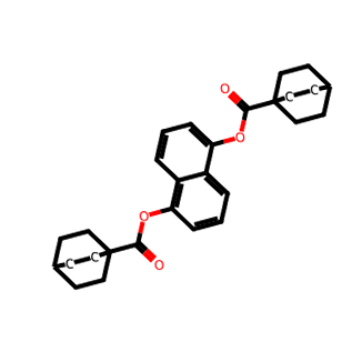 O=C(Oc1cccc2c(OC(=O)C34CCC(CC3)CC4)cccc12)C12CCC(CC1)CC2